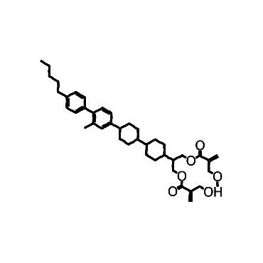 C=C(CO)C(=O)OCC(COC(=O)C(=C)COC)C1CCC(C2CCC(c3ccc(-c4ccc(CCCCC)cc4)c(C)c3)CC2)CC1